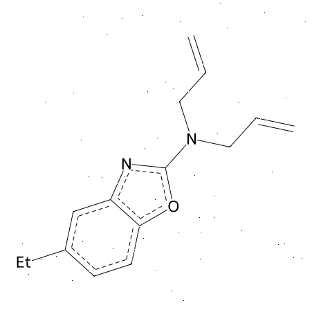 C=CCN(CC=C)c1nc2cc(CC)ccc2o1